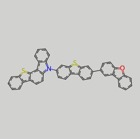 c1ccc2c(c1)oc1ccc(-c3ccc4c(c3)sc3cc(-n5c6ccccc6c6c7sc8ccccc8c7ccc65)ccc34)cc12